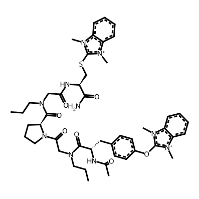 CCCN(CC(=O)N1CCC[C@H]1C(=O)N(CCC)CC(=O)N[C@@H](CSc1n(C)c2ccccc2[n+]1C)C(N)=O)C(=O)[C@H](Cc1ccc(Oc2n(C)c3ccccc3[n+]2C)cc1)NC(C)=O